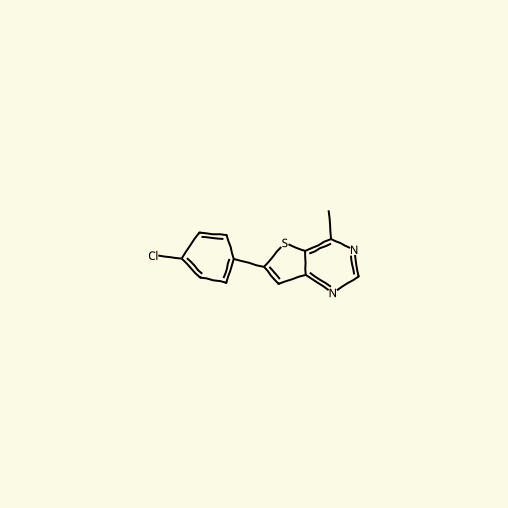 Cc1ncnc2cc(-c3ccc(Cl)cc3)sc12